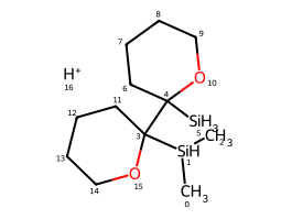 C[SiH](C)C1(C2([SiH3])CCCCO2)CCCCO1.[H+]